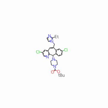 CCc1nccn1CC1=Cc2cc(Cl)cnc2C(N2CCN(C(=O)OC(C)(C)C)CC2)c2ccc(Cl)cc21